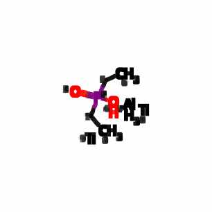 CCP(=O)(O)CC.[AlH3].[Ti].[Ti]